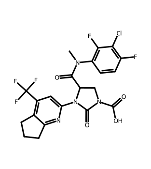 CN(C(=O)C1CN(C(=O)O)C(=O)N1c1cc(C(F)(F)F)c2c(n1)CCC2)c1ccc(F)c(Cl)c1F